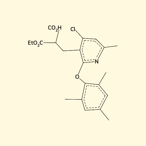 CCOC(=O)C(Cc1c(Cl)cc(C)nc1Oc1c(C)cc(C)cc1C)C(=O)O